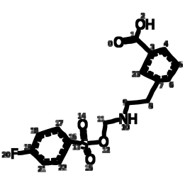 O=C(O)c1cccc(CCNCOS(=O)(=O)c2ccc(F)cc2)c1